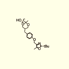 Cc1oc(C(C)(C)C)nc1COc1ccc(CC2COC(C)(C(=O)O)OC2)cc1